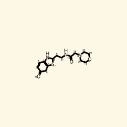 O=C1C=CC2=C(C1)SC(CCNC(=O)CN1CCOCC1)N2